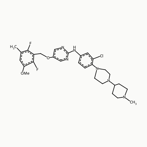 COc1cc(C)c(F)c(COc2cnc(Nc3ccc(N4CCN(C5CCN(C)CC5)CC4)c(Cl)c3)nc2)c1F